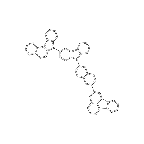 c1ccc2c(c1)-c1cccc3cc(-c4ccc5cc(-n6c7ccccc7c7cc(-n8c9ccccc9c9c%10ccccc%10ccc98)ccc76)ccc5c4)cc-2c13